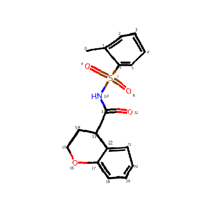 Cc1ccccc1S(=O)(=O)NC(=O)C1CCOc2ccccc21